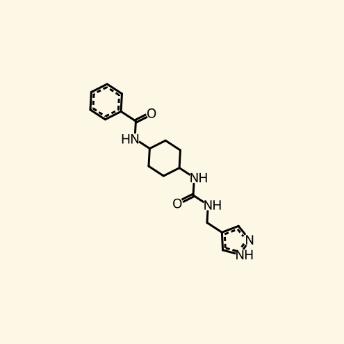 O=C(NCc1cn[nH]c1)NC1CCC(NC(=O)c2ccccc2)CC1